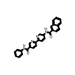 O=C(Nc1ccccc1)c1ccc(-c2ccc(NC(=O)c3ccc4ccccc4c3)cn2)nc1